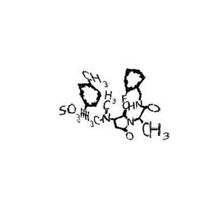 C[C@H](C(=O)NCc1ccccc1F)N1C(=O)CC(N(C)C)C1=O.Cc1ccc(S(=O)(=O)O)cc1